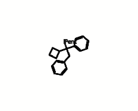 [CH2]C(CCC)C(Cc1ccccc1)(c1ccccc1)C1CCC1